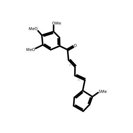 COc1cc(C(=O)/C=C/C=C/c2ccccc2SC)cc(OC)c1OC